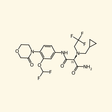 NC(=O)[C@@H](C(=O)Nc1ccc(N2CCOCC2=O)c(OC(F)F)c1)N(CC1CC1)CC(F)(F)F